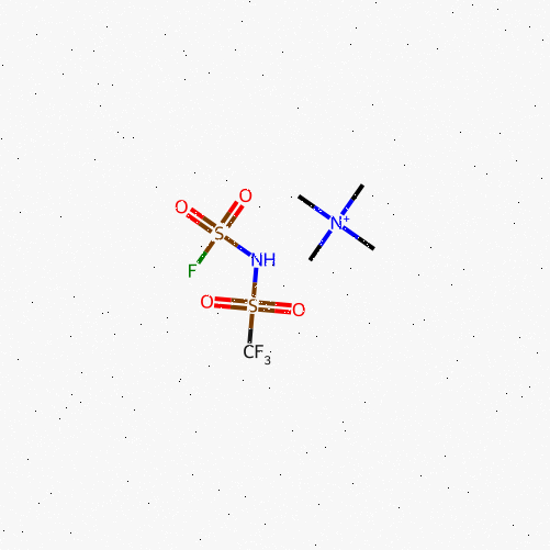 C[N+](C)(C)C.O=S(=O)(F)NS(=O)(=O)C(F)(F)F